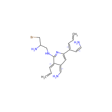 C=C/C=C(\C=C/N)c1cc(=C/N)/c(=C\C=C)c(NCC(N)CBr)n1